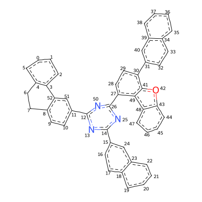 c1ccc2c(c1)CCc1ccc(-c3nc(-c4ccc5ccccc5c4)nc(-c4ccc(-c5ccc6ccccc6c5)c5oc6ccccc6c45)n3)cc1-2